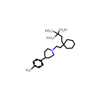 CCOC(=O)C(CCC1(CCN2CCC(c3ccc(C)cc3)CC2)CCCCC1)(C(=O)OCC)C(=O)OCC